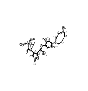 CC/C(=N\c1cc(F)c(N2CCCCN(CC)CC2)cc1C)c1nn(C)cc1NC(=O)N(CC)C(C)C